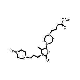 COC(=O)CCCN1CCN(C2OC(=O)N(CCCN3CCN(C(C)C)CC3)C2C)CC1